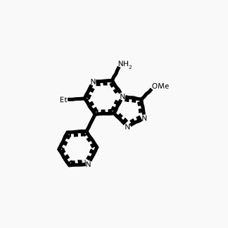 CCc1nc(N)n2c(OC)nnc2c1-c1cccnc1